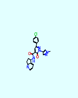 Cn1cc(-n2nc(-c3ccc(Cl)cc3)cc(C(=O)N[C@@H]3CCc4ncccc43)c2=O)cn1